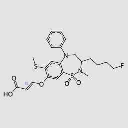 CSc1cc2c(cc1O/C=C/C(=O)O)S(=O)(=O)N(C)C(CCCCF)CN2c1ccccc1